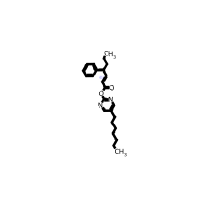 CCCCCCCc1cnc(OC(=O)/C=C/C(CCC)c2ccccc2)nc1